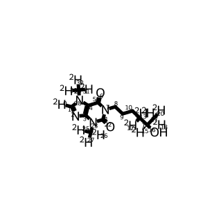 [2H]c1nc2c(c(=O)n(CCCC([2H])([2H])[C@]([2H])(O)C([2H])([2H])[2H])c(=O)n2C([2H])([2H])[2H])n1C([2H])([2H])[2H]